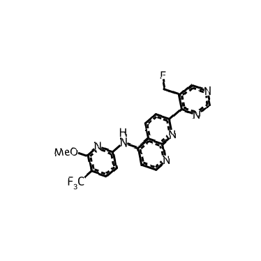 COc1nc(Nc2ccnc3nc(-c4ncncc4CF)ccc23)ccc1C(F)(F)F